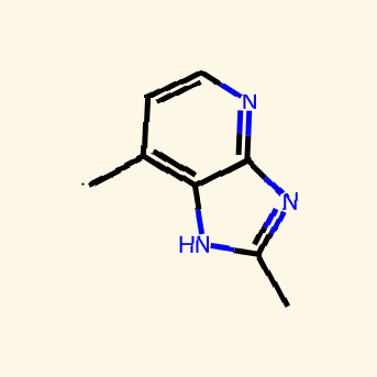 [CH2]c1ccnc2nc(C)[nH]c12